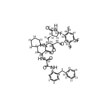 O=C(Nc1ccccc1Cc1ccccc1)C(=O)N[C@@H](CC1CCCCC1)C(=O)N[C@@H](C[C@@H]1CCNC1=O)C(=O)COc1c(F)c(F)cc(F)c1F